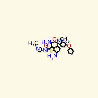 CCN1CCC(NC(=O)c2sc3c(N)ccc4c3c2C(N)C(=O)C4(N)c2ccc(Oc3ccccc3)cc2C)C1